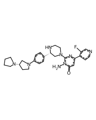 Nn1c(N2CCN[C@@H](c3ccc(N4CC[C@H](N5CCCC5)C4)cc3)C2)nc(-c2ccncc2F)cc1=O